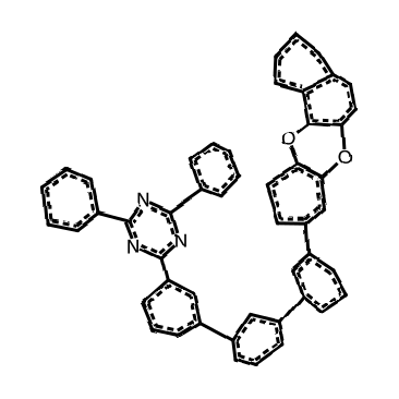 c1ccc(-c2nc(-c3ccccc3)nc(-c3cccc(-c4cccc(-c5cccc(-c6ccc7c(c6)Oc6ccc8ccccc8c6O7)c5)c4)c3)n2)cc1